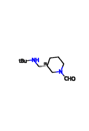 CC(C)(C)NC[C@@H]1CCCN(C=O)C1